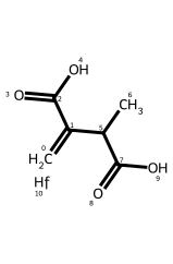 C=C(C(=O)O)C(C)C(=O)O.[Hf]